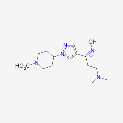 CN(C)CC/C(=N/O)c1cnn(C2CCN(C(=O)O)CC2)c1